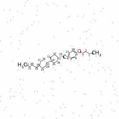 CCCCOc1ccc(CC[C@H]2CC[C@H]([C@H]3CC[C@H](CCCC)CC3)CC2)cc1